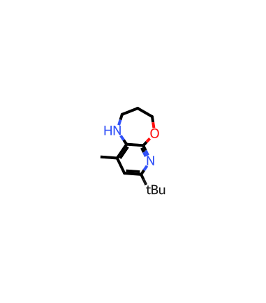 Cc1cc(C(C)(C)C)nc2c1NCCCO2